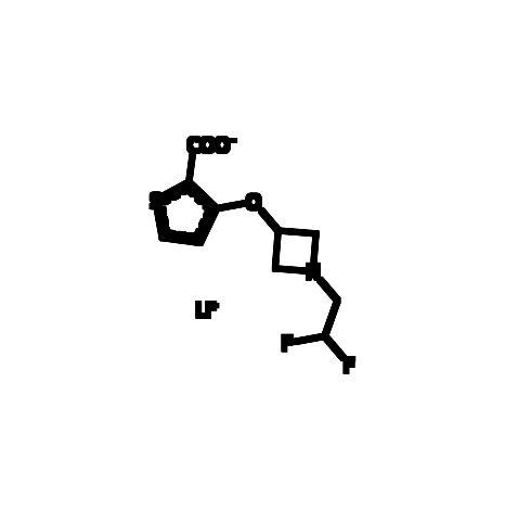 O=C([O-])c1sccc1OC1CN(CC(F)F)C1.[Li+]